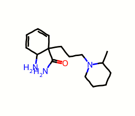 CC1CCCCN1CCCC1(C(N)=O)C=CC=CC1N